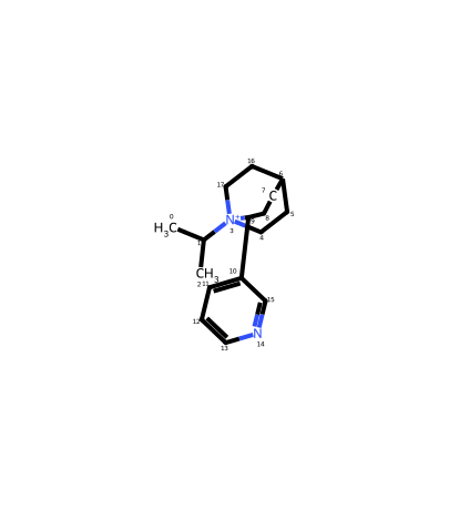 CC(C)[N+]12CCC(CCC1c1cccnc1)CC2